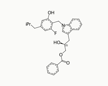 CC(C)Cc1cc(O)c(Cn2cc(C[C@H](O)COC(=O)c3ccccc3)c3ccccc32)c(F)c1